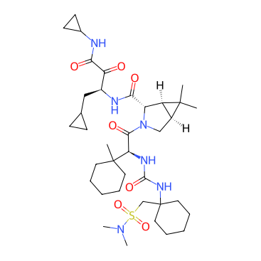 CN(C)S(=O)(=O)CC1(NC(=O)N[C@H](C(=O)N2C[C@H]3[C@@H]([C@H]2C(=O)N[C@@H](CC2CC2)C(=O)C(=O)NC2CC2)C3(C)C)C2(C)CCCCC2)CCCCC1